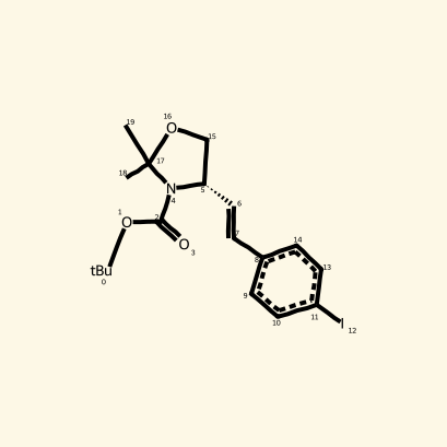 CC(C)(C)OC(=O)N1[C@@H](C=Cc2ccc(I)cc2)COC1(C)C